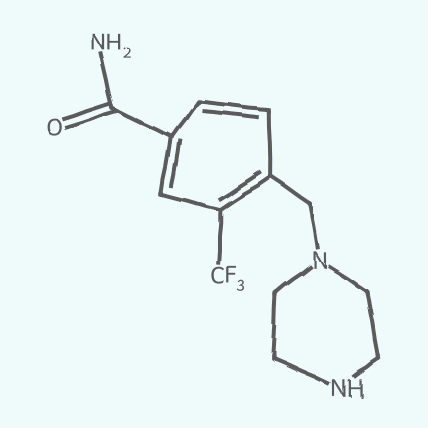 NC(=O)c1ccc(CN2CCNCC2)c(C(F)(F)F)c1